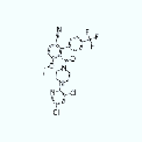 CCOc1ccc(C#N)c(-c2ccc(C(F)(F)F)cc2)c1C(=O)N1CCN(c2ncc(Cl)cc2Cl)CC1